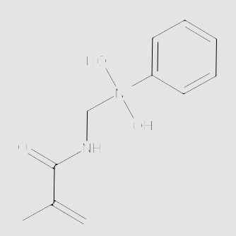 C=C(C)C(=O)NC[N+](O)(O)c1ccccc1